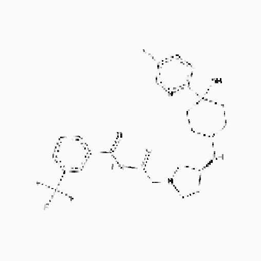 Cc1ccc(C2(O)CCC(N[C@H]3CCN(CC(=O)NC(=O)c4cccc(C(F)(F)F)c4)C3)CC2)nc1